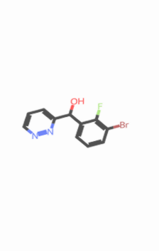 OC(c1cccnn1)c1cccc(Br)c1F